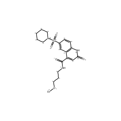 CCOCCCNC(=O)c1cc(=O)[nH]c2ccc(S(=O)(=O)N3CCCCC3)cc12